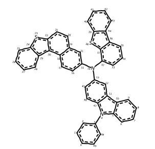 c1ccc(-n2c3ccccc3c3cc(N(c4ccc5c(ccc6sc7ccccc7c65)c4)c4cccc5c4sc4ccccc45)ccc32)cc1